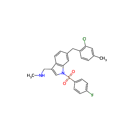 CNCc1cn(S(=O)(=O)c2ccc(F)cc2)c2cc(Cc3ccc(C)cc3Cl)ccc12